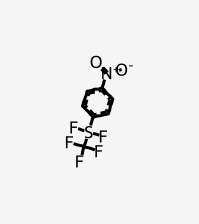 O=[N+]([O-])c1ccc(S(F)(F)C(F)(F)F)cc1